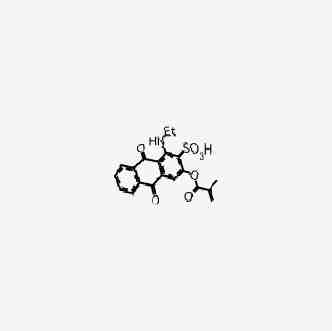 C=C(C)C(=O)Oc1cc2c(c(NCC)c1S(=O)(=O)O)C(=O)c1ccccc1C2=O